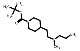 CCCN(C)CCC1CCN(C(=O)OC(C)(C)C)CC1